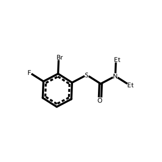 CCN(CC)C(=O)Sc1cccc(F)c1Br